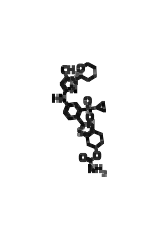 Cc1cc(Nc2ccc(-c3nc4c(s3)CC(OC(N)=O)CC4)c(S(=O)(=O)C3CC3)c2)nn1C1CCCCO1